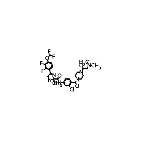 CN(C)CC(=O)N1CCN(C(=O)c2ccc(NC(=O)C3(C)N=CC(c4ccc(OC(F)F)c(F)c4F)=N3)cc2Cl)CC1